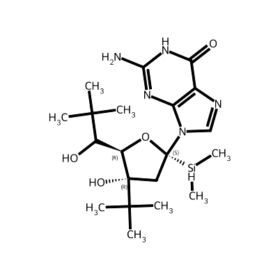 C[SiH](C)[C@]1(n2cnc3c(=O)[nH]c(N)nc32)C[C@@](O)(C(C)(C)C)[C@@H](C(O)C(C)(C)C)O1